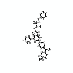 O=C(CCc1cccnc1)NCc1cc2cc(-c3ccc(C(=O)N4CCC(F)(F)CC4)cc3)cc(-c3cccnc3)c2o1